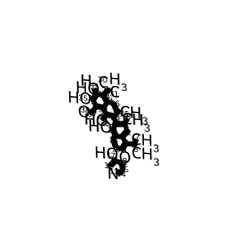 Cc1cc2c(C(C)C)c(Oc3ccncc3)c(O)cc2c(O)c1-c1c(C)cc2c(C(C)C)c(O)c(O)c(C=O)c2c1O